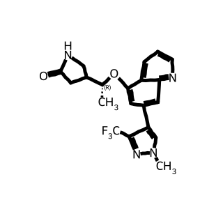 C[C@@H](Oc1cc(-c2cn(C)nc2C(F)(F)F)cc2ncccc12)C1CNC(=O)C1